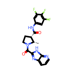 C[C@H]1[C@@H](C(=O)Nc2cc(F)c(F)c(F)c2)CCN1C(=O)c1nc2cccnc2[nH]1